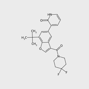 CC(C)(C)c1cc(-c2ccc[nH]c2=O)cc2c(C(=O)N3CCC(F)(F)CC3)coc12